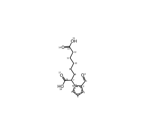 O=Cc1cccn1C(CCCCCC(=O)O)C(=O)O